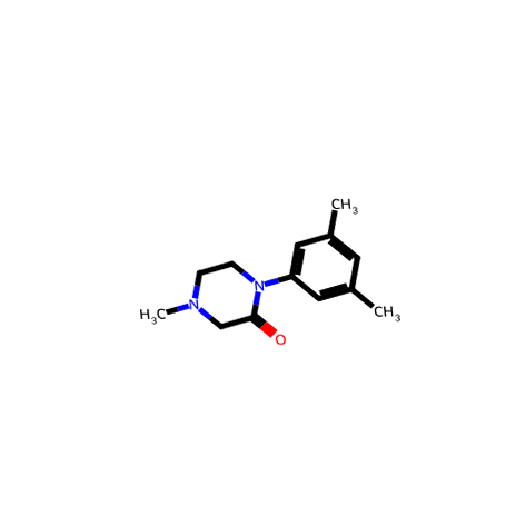 Cc1cc(C)cc(N2CCN(C)CC2=O)c1